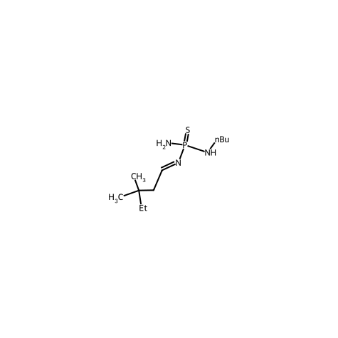 CCCCNP(N)(=S)/N=C/CC(C)(C)CC